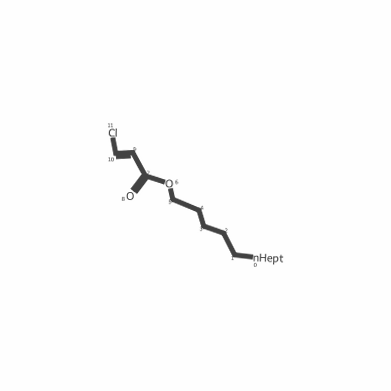 CCCCCCCCCCCCOC(=O)C=CCl